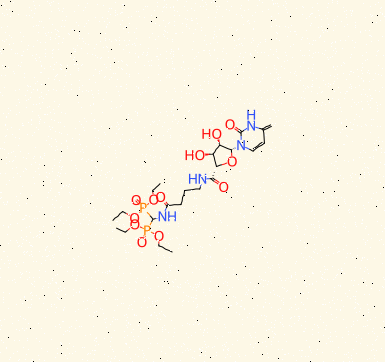 C=C1C=CN([C@@H]2O[C@H](C(=O)NCCCC(=O)NC(P(=O)(OCC)OCC)P(=O)(OCC)OCC)[C@@H](O)[C@H]2O)C(=O)N1